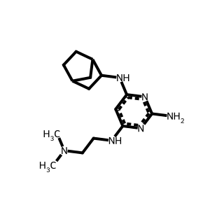 CN(C)CCNc1cc(NC2CC3CCC2C3)nc(N)n1